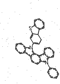 C1=C2Sc3ccccc3C2CC=C1n1c2ccccc2c2ccc3c(c4ccccc4n3-c3ccccc3)c21